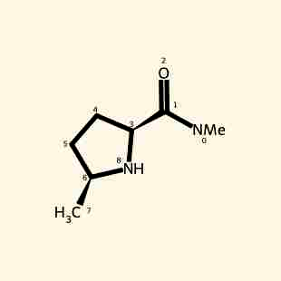 CNC(=O)[C@@H]1CC[C@H](C)N1